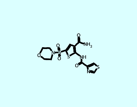 NC(=O)c1cc(S(=O)(=O)N2CCOCC2)sc1NC(=O)c1cscn1